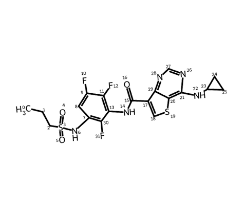 CCCS(=O)(=O)Nc1cc(F)c(F)c(NC(=O)c2csc3c(NC4CC4)ncnc23)c1F